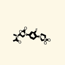 CC(=O)N(C)C1CN(c2ccc(N3CCS(=O)(=O)C3)c(F)c2)C(=O)O1